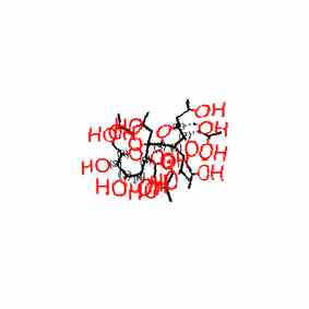 CC(O)COC(CC(C)O)(CC(C)O)[C@@]1(O[C@H]2O[C@H](CO)[C@@H](O)[C@H](O)[C@H]2O)O[C@@](CO)(CC(C)O)[C@@](CC(C)O)(OCC(C)O)[C@]1(CC(C)O)OCC(C)O